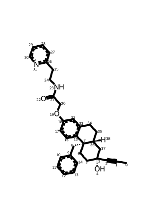 CC#C[C@@]1(O)CC[C@@]2(Cc3ccccc3)c3ccc(OCC(=O)NCCc4ccccn4)cc3CC[C@@H]2C1